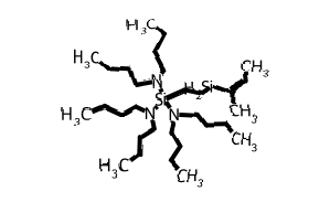 CC=C(C)[SiH2]CC[Si](N(CCCC)CCCC)(N(CCCC)CCCC)N(CCCC)CCCC